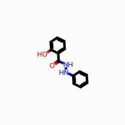 O=C(NNc1ccccc1)c1ccccc1O